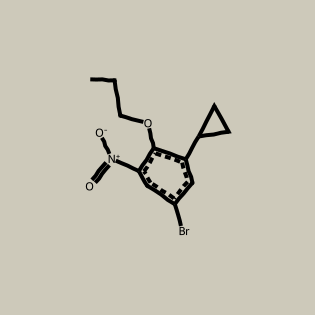 CCCOc1c(C2CC2)cc(Br)cc1[N+](=O)[O-]